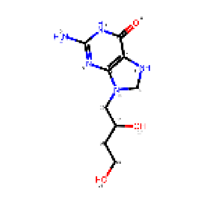 Nc1nc2c(c(=O)[nH]1)NCN2CC(O)CCO